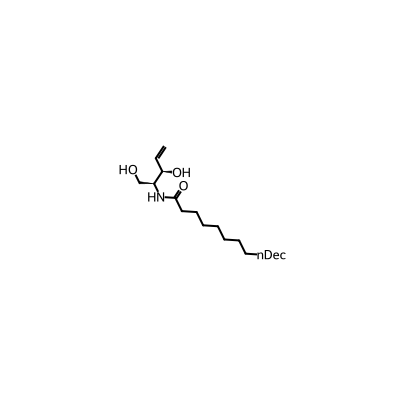 C=C[C@@H](O)[C@H](CO)NC(=O)CCCCCCCCCCCCCCCCC